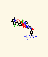 Cc1cc(C)c2cccc(C(=O)c3c(Cl)ccc(S(=O)(=O)N4CCCC4C(=O)N4CCN(C(=O)c5ccc(C(=N)N)cc5)CC4)c3Cl)c2n1